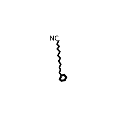 N#CCCCCCCCCCCCCc1ccccc1